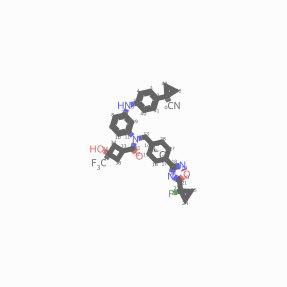 N#CC1(c2ccc(Nc3cccc(N(CC45CCC(c6noc(C7(F)CC7)n6)(CC4)CC5)C(=O)C4CC(O)(C(F)(F)F)C4)c3)cc2)CC1